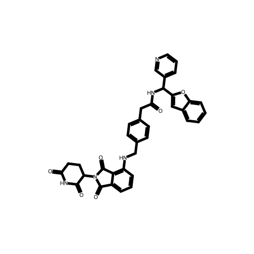 O=C1CCC(N2C(=O)c3cccc(NCc4ccc(CC(=O)NC(c5cccnc5)c5cc6ccccc6o5)cc4)c3C2=O)C(=O)N1